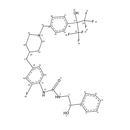 O=C(NCC(O)c1ccccc1)Nc1ccc(CC2CCN(Cc3ccc(C(O)(C(F)(F)F)C(F)(F)F)cc3)CC2)cc1F